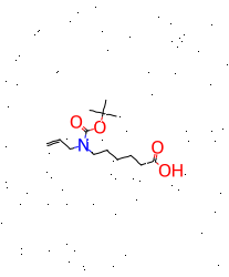 C=CCN(CCCCCC(=O)O)C(=O)OC(C)(C)C